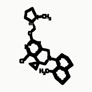 Cc1cccc2cccc(N3Cc4nc(OC[C@@H]5CCCN5C)nc(Cl)c4C4(CC4)C3)c12